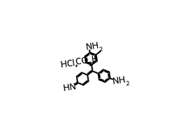 CC(=O)O.Cc1cc(C(=C2C=CC(=N)C=C2)c2ccc(N)cc2)ccc1N.Cl